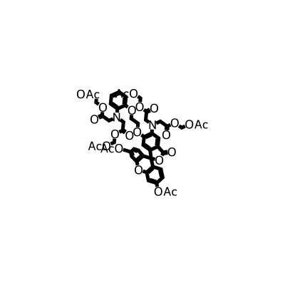 CC(=O)OCOC(=O)CN(CC(=O)OCOC(C)=O)c1ccccc1OCCOc1cc2c(cc1N(CC(=O)OCOC(C)=O)CC(=O)OCOC(C)=O)C(=O)OC21c2ccc(OC(C)=O)cc2Oc2cc(OC(C)=O)ccc21